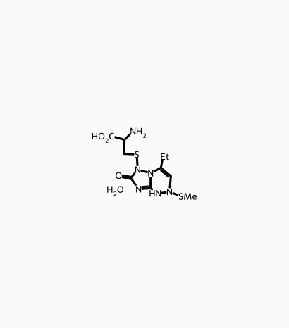 CCC1=CN(SC)Nc2nc(=O)n(SCC(N)C(=O)O)n21.O